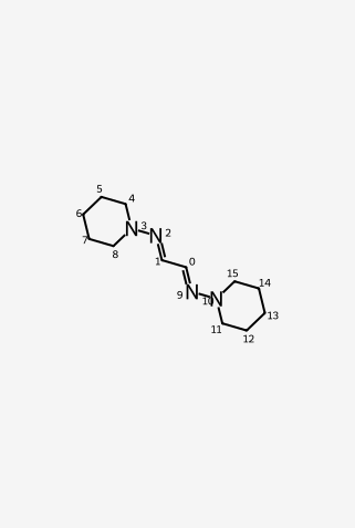 C(C=NN1CCCCC1)=NN1CCCCC1